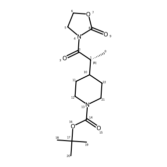 C[C@@H](C(=O)N1CCOC1=O)C1CCN(C(=O)OC(C)(C)C)CC1